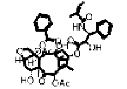 C/C=C(/C)C(=O)N[C@@H](c1ccccc1)[C@@H](O)C(=O)O[C@H]1C[C@@]2(O)[C@@H](OC(=O)c3ccccc3)[C@@H]3[C@]4(OC(C)=O)CO[C@@H]4C[C@@H](O)[C@@]3(C)C(=O)[C@H](OC(C)=O)C(=C1C)C2(C)C